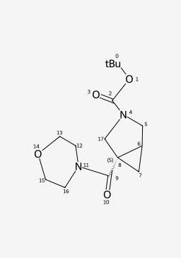 CC(C)(C)OC(=O)N1CC2C[C@@]2(C(=O)N2CCOCC2)C1